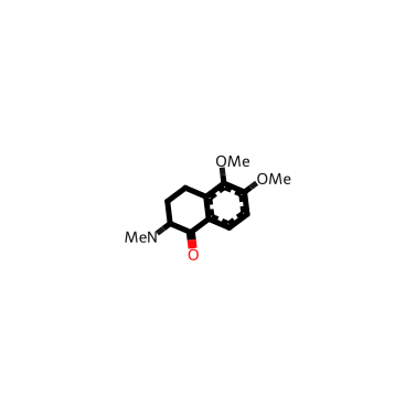 CNC1CCc2c(ccc(OC)c2OC)C1=O